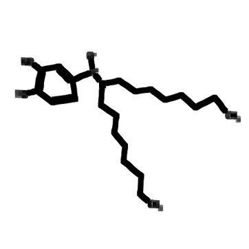 CCCCCCCCN(CCCCCCCC)[S+]([O-])c1ccc(O)c(O)c1